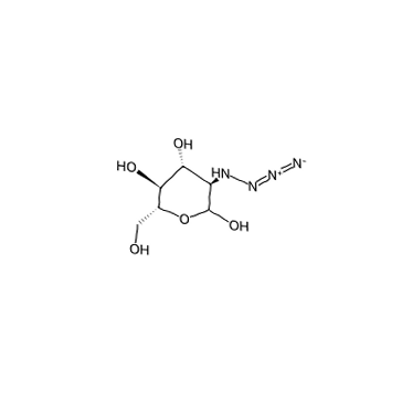 [N-]=[N+]=NN[C@H]1C(O)O[C@H](CO)[C@@H](O)[C@@H]1O